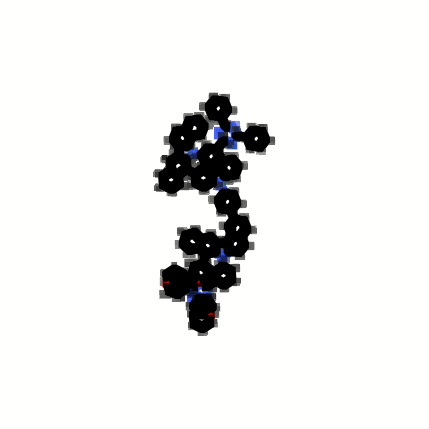 c1ccc(-c2nc(-c3ccccc3)nc(-c3cccc(-n4c5ccc6ccc(-c7ccc(-n8c9ccccc9c9cc(-c%10c%11ccccc%11cc%11c%12ccc%13ccccc%13c%12n(-c%12cccc(-c%13nc(-c%14ccccc%14)nc(-c%14ccccc%14)n%13)c%12)c%10%11)ccc98)cc7)cc6c5c5cc6ccccc6c(-c6ccc7c(c6)c6ccccc6n7-c6ccccc6)c54)c3)n2)cc1